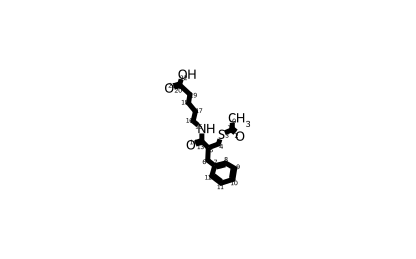 CC(=O)SCC(Cc1ccccc1)C(=O)NCCCCC(=O)O